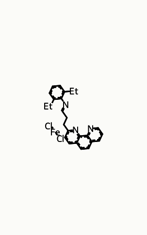 CCc1cccc(CC)c1N=CCCc1ccc2ccc3cccnc3c2n1.[Cl][Fe][Cl]